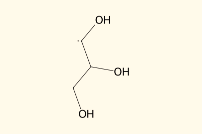 O[CH]C(O)CO